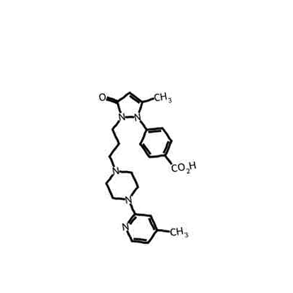 Cc1ccnc(N2CCN(CCCn3c(=O)cc(C)n3-c3ccc(C(=O)O)cc3)CC2)c1